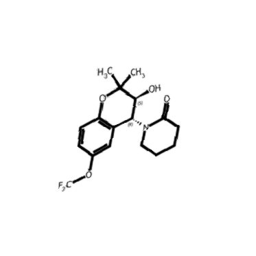 CC1(C)Oc2ccc(OC(F)(F)F)cc2[C@@H](N2CCCCC2=O)[C@@H]1O